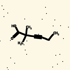 CCC#CC(C)(C)C(=O)O